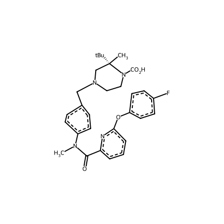 CN(C(=O)c1cccc(Oc2ccc(F)cc2)n1)c1ccc(CN2CCN(C(=O)O)[C@@](C)(C(C)(C)C)C2)cc1